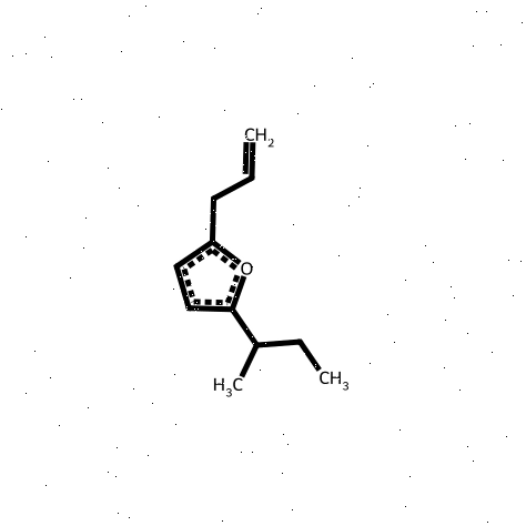 C=CCc1ccc(C(C)CC)o1